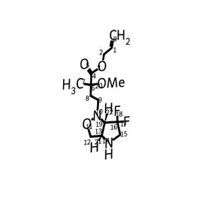 C=CCOC(=O)C(C)(CCN1OC[C@H]2NCC(F)(F)[C@H]21)OC